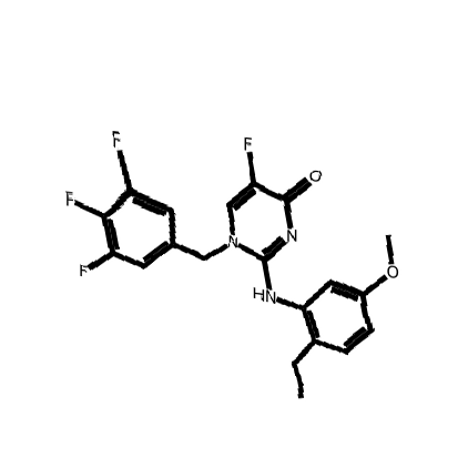 CCc1ccc(OC)cc1Nc1nc(=O)c(F)cn1Cc1cc(F)c(F)c(F)c1